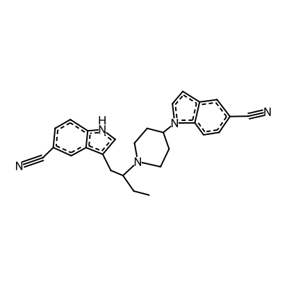 CCC(Cc1c[nH]c2ccc(C#N)cc12)N1CCC(n2ccc3cc(C#N)ccc32)CC1